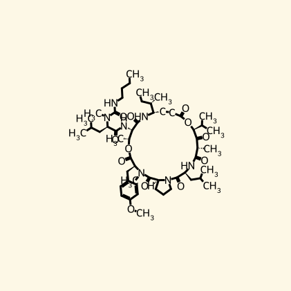 CCCCNC(=O)N(C)[C@H](CC(C)C)C(=O)N[C@@H]1C(=O)N[C@H]([C@@H](C)CC)CCC(=O)O[C@@H](C(C)C)C(=O)[C@H](C)C(=O)N[C@@H](CC(C)C)C(=O)N2CCC[C@H]2C(=O)N(C)[C@@H](Cc2ccc(OC)cc2)C(=O)O[C@@H]1C